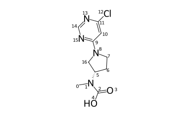 CN(C(=O)O)[C@H]1CCN(c2cc(Cl)ncn2)C1